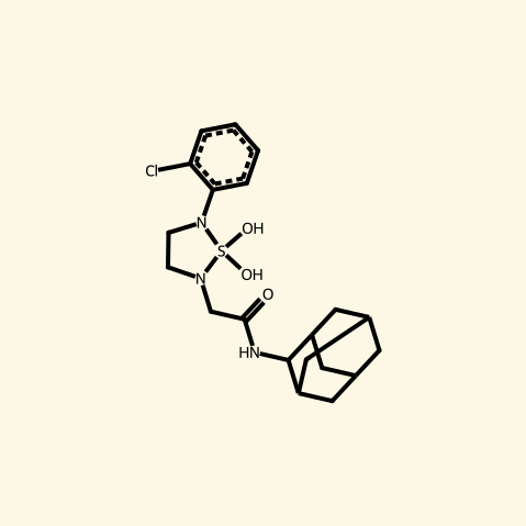 O=C(CN1CCN(c2ccccc2Cl)S1(O)O)NC1C2CC3CC(C2)CC1C3